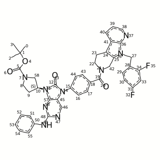 CC(C)(C)OC(=O)N1CC[C@H](n2c(=O)n(-c3ccc(C(=O)N4CCc5c(n(Cc6ccc(F)cc6F)c6ncccc56)C4)cc3)c3cnc(Nc4ccccc4)nc32)C1